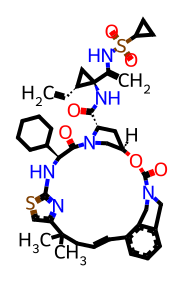 C=C[C@@H]1C[C@]1(NC(=O)[C@@H]1C[C@@H]2CN1C(=O)[C@H](C1CCCCC1)Nc1nc(cs1)C(C)(C)C/C=C/c1cccc3c1CN(C3)C(=O)O2)C(=C)NS(=O)(=O)C1CC1